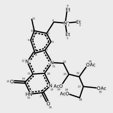 CC[N+](CC)(CC)Cc1cc2c(cc1C)nc1c(=O)[nH]c(=O)nc-1n2CC(OC(C)=O)C(OC(C)=O)C(COC(C)=O)OC(C)=O